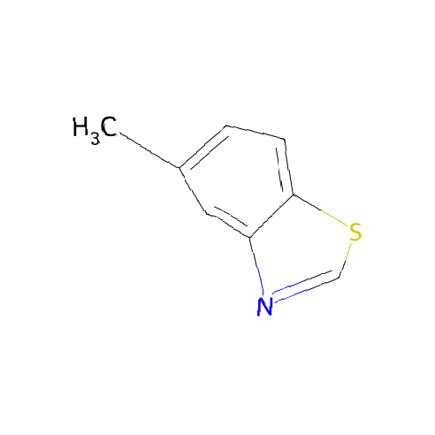 Cc1ccc2scnc2c1